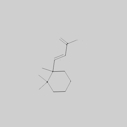 CCCCCC(=O)/C=C/C1(C)CCCCC1(C)C